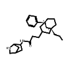 CCC[C@@]12CCC[C@@](c3ccccc3)(CC(CCC(=O)NC3CC4CNC3C4)C1)C2